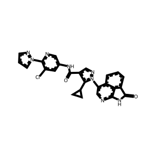 O=C(Nc1cnc(-n2cccn2)c(Cl)c1)c1cnn(-c2cnc3c4c(cccc24)C(=O)N3)c1C1CC1